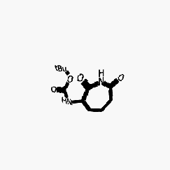 CC(C)(C)OC(=O)NC1CCCC(=O)NC1=O